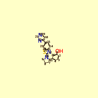 Oc1cccc(C2CCCN2c2nc3ccc(-c4ccncn4)cc3s2)c1